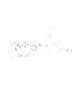 C=CCC(=O)OCC(O)(COC(=O)CC=C)COC(=O)C/C=C/c1ccc2c(c1O)C(=O)C1=C(O)C3(O)C(=O)C(C(N)=O)=C(O)C(N(C)C)C3C(O)C1C2C